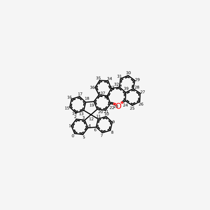 c1ccc2c(c1)-c1ccccc1C21c2ccccc2-c2c1cc1oc3cccc4cccc(c5cccc2c15)c43